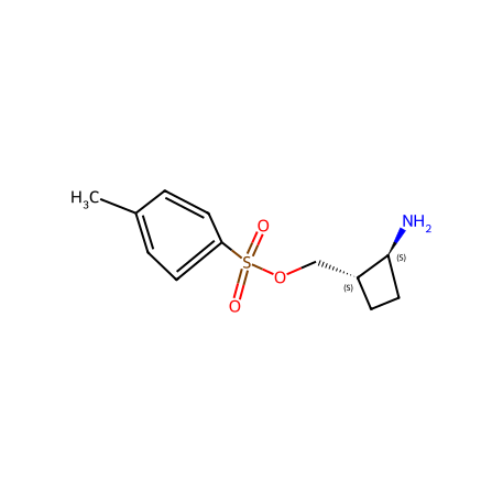 Cc1ccc(S(=O)(=O)OC[C@H]2CC[C@@H]2N)cc1